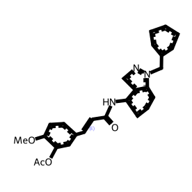 COc1ccc(/C=C/C(=O)Nc2cccc3c2cnn3Cc2ccccc2)cc1OC(C)=O